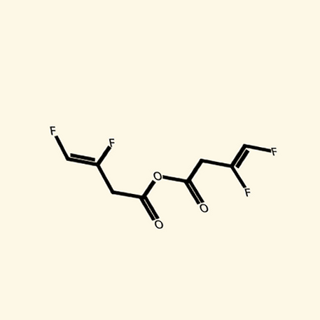 O=C(CC(F)=CF)OC(=O)CC(F)=CF